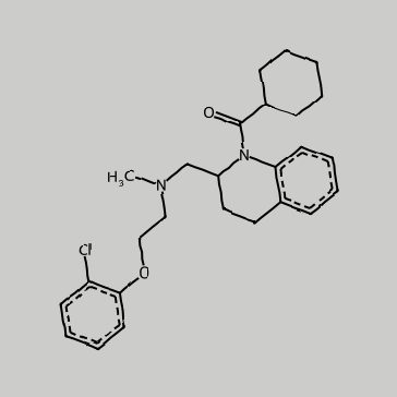 CN(CCOc1ccccc1Cl)CC1CCc2ccccc2N1C(=O)C1CCCCC1